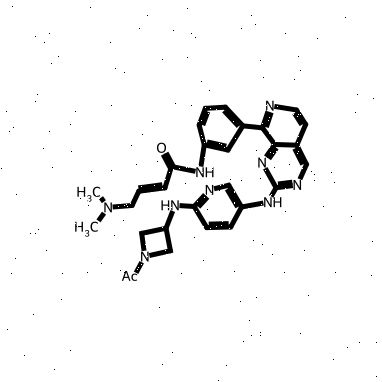 CC(=O)N1CC(Nc2ccc(Nc3ncc4ccnc(-c5cccc(NC(=O)/C=C/CN(C)C)c5)c4n3)cn2)C1